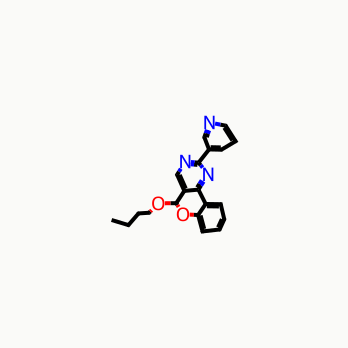 CCCCOC1Oc2ccccc2-c2nc(-c3cccnc3)ncc21